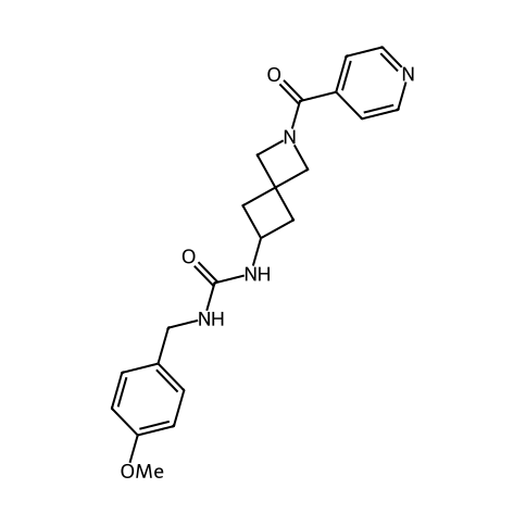 COc1ccc(CNC(=O)NC2CC3(C2)CN(C(=O)c2ccncc2)C3)cc1